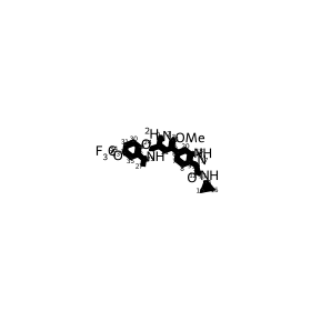 [2H]c1nc(OC)c(-c2ccc3c(C(=O)NC4CC4)n[nH]c3c2)cc1C(=O)NC(C)c1cccc(OC(F)(F)F)c1